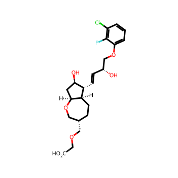 O=C(O)COC[C@H]1CC[C@@H]2[C@@H](C=C[C@@H](O)COc3cccc(Cl)c3F)[C@H](O)C[C@@H]2OC1